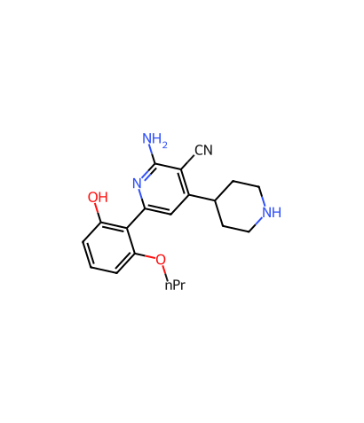 CCCOc1cccc(O)c1-c1cc(C2CCNCC2)c(C#N)c(N)n1